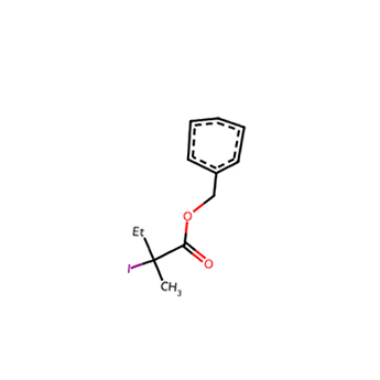 CCC(C)(I)C(=O)OCc1ccccc1